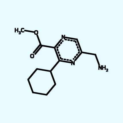 COC(=O)c1ncc(CN)nc1C1CCCCC1